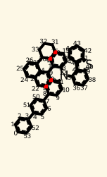 c1ccc(-c2ccc(-c3ccc(N(c4ccccc4-c4cccc5cccc(C6CCCCC6)c45)c4cccc5sc6ccccc6c45)cc3)cc2)cc1